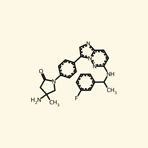 CC(Nc1ccc2ncc(-c3ccc(N4CC(C)(N)CC4=O)cc3)n2n1)c1cccc(F)c1